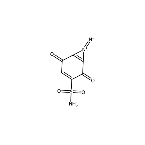 [N-]=[N+]1C2=C1C(=O)C(S(N)(=O)=O)=CC2=O